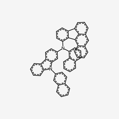 c1cc2c(c(N(c3ccc4c5ccccc5n(-c5ccc6ccccc6c5)c4c3)c3cccc4ccccc34)c1)-c1c3ccccc3cc3cccc-2c13